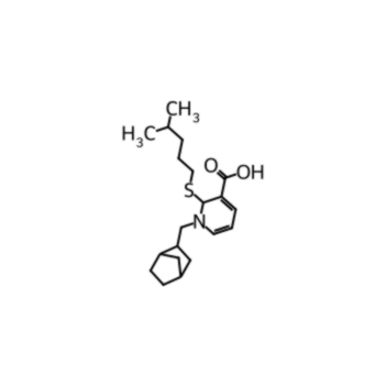 CC(C)CCCSC1C(C(=O)O)=CC=CN1CC1CC2CCC1C2